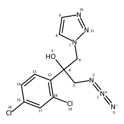 [N-]=[N+]=NCC(O)(Cn1ccnn1)c1ccc(Cl)cc1Cl